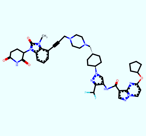 Cn1c(=O)n(C2CCC(=O)NC2=O)c2cccc(C#CCN3CCN(C[C@H]4CC[C@H](n5cc(NC(=O)c6cnn7ccc(OC8CCCC8)nc67)c(C(F)F)n5)CC4)CC3)c21